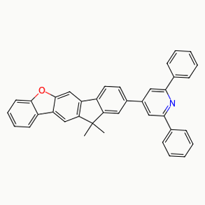 CC1(C)c2cc(-c3cc(-c4ccccc4)nc(-c4ccccc4)c3)ccc2-c2cc3oc4ccccc4c3cc21